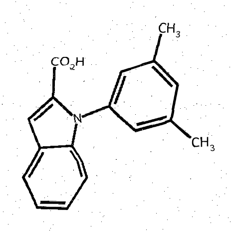 Cc1cc(C)cc(-n2c(C(=O)O)cc3ccccc32)c1